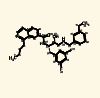 CCCCc1nccc2ccc(C(=O)N[C@@H](Cc3cc(F)cc(F)c3)[C@@H](O)CNCc3cccc(CC)c3)cc12